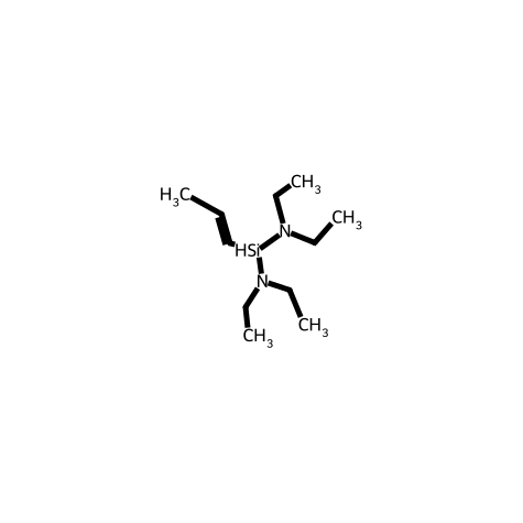 CC=C[SiH](N(CC)CC)N(CC)CC